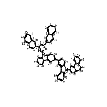 c1ccc2cc(-c3cc(-c4ccc5ccccc5c4)nc(-n4c5ccccc5c5cc(-c6ccc7c(c6)c6ccccc6n7-c6ccc7ccc8ccccc8c7c6)ccc54)n3)ccc2c1